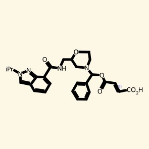 CC(C)n1cc2cccc(C(=O)NCC3CN(C(OC(=O)/C=C/C(=O)O)c4ccccc4)CCO3)c2n1